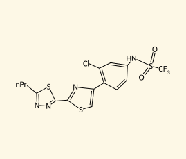 CCCc1nnc(-c2nc(-c3ccc(NS(=O)(=O)C(F)(F)F)cc3Cl)cs2)s1